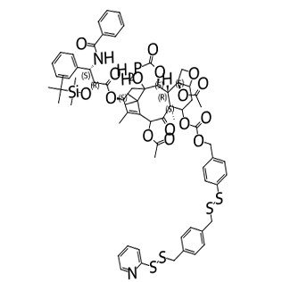 CC(=O)OC1C(=O)[C@]2(C)C(OC(=O)OCc3ccc(SSCc4ccc(CSSc5ccccn5)cc4)cc3)CC3OC[C@@]3(OC(C)=O)[C@H]2[C@H](OC(=O)P)C2(O)C[C@H](OC(=O)[C@H](O[Si](C)(C)C(C)(C)C)[C@@H](NC(=O)c3ccccc3)c3ccccc3)C(C)=C1C2(C)C